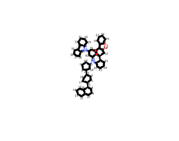 c1cc(-c2ccc(-c3cccc4ccccc34)cc2)cc(N(c2cccc(-n3c4ccccc4c4ccccc43)c2)c2ccccc2-c2ccc3c(c2)oc2ccccc23)c1